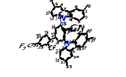 Cc1ccc2c(c1)c1cc(C)ccc1n2-c1cc(-c2ccc(C(F)(F)F)cc2C(F)(F)F)cc(-n2c3ccc(C)cc3c3cc(C)ccc32)c1C#N